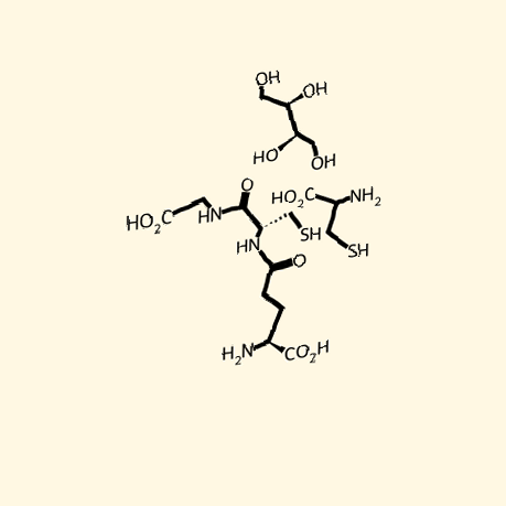 NC(CS)C(=O)O.N[C@@H](CCC(=O)N[C@@H](CS)C(=O)NCC(=O)O)C(=O)O.OC[C@@H](O)[C@H](O)CO